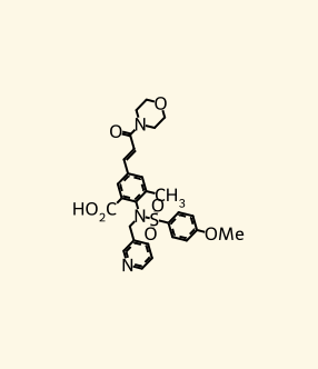 COc1ccc(S(=O)(=O)N(Cc2cccnc2)c2c(C)cc(C=CC(=O)N3CCOCC3)cc2C(=O)O)cc1